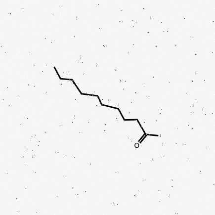 [CH]C(=O)CCCCCCCCC